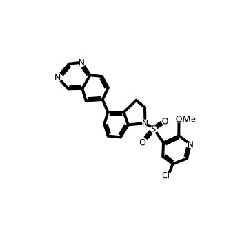 COc1ncc(Cl)cc1S(=O)(=O)N1CCc2c(-c3ccc4ncncc4c3)cccc21